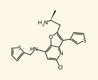 C[C@H](N)Cc1oc2c(NCc3cccs3)cc(Cl)nc2c1-c1ccsc1